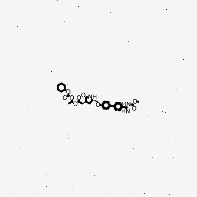 COC(=O)NC(=N)c1ccc(-c2ccc(OC[C@@H]3C[C@@H](CC(=O)OC(C)OC(=O)OC4CCCCC4)C(=O)N3)cc2)cc1